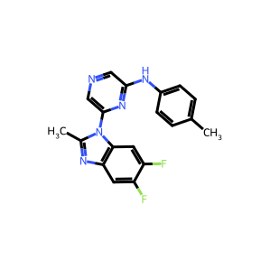 Cc1ccc(Nc2cncc(-n3c(C)nc4cc(F)c(F)cc43)n2)cc1